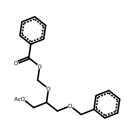 CC(=O)OCC(COCc1ccccc1)OCOC(=O)c1ccccc1